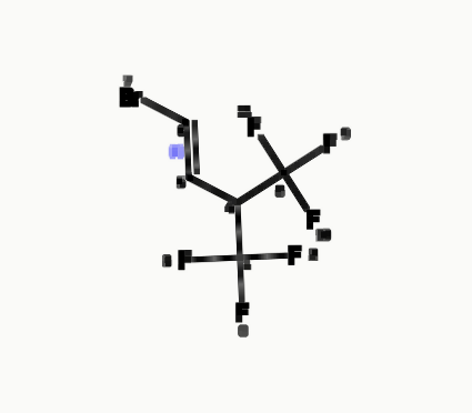 FC(F)(F)C(/C=C/Br)C(F)(F)F